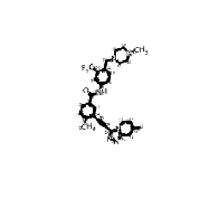 Cc1ccc(C(=O)Nc2ccc(CN3CCN(C)CC3)c(C(F)(F)F)c2)cc1C#Cc1nnc2cc(F)ccn12